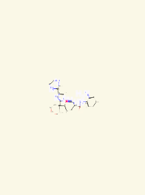 Nc1ccccc1NC(=O)c1ccc(C2(c3nc(-c4cnccn4)c[nH]3)CCOCC2)cc1